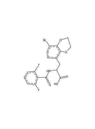 O=C(NC(Cc1ccc(Br)c2c1OCCO2)C(=O)O)c1c(F)cccc1F